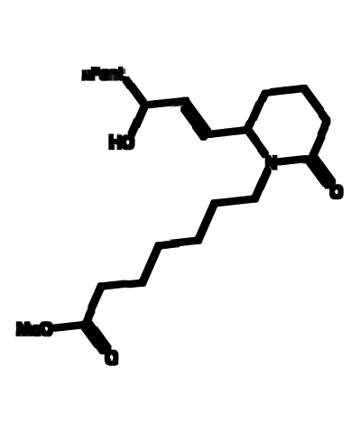 CCCCCC(O)C=CC1CCCC(=O)N1CCCCCCC(=O)OC